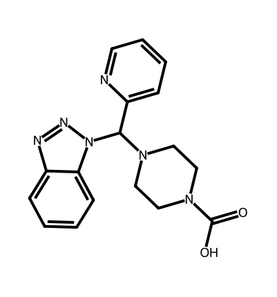 O=C(O)N1CCN(C(c2ccccn2)n2nnc3ccccc32)CC1